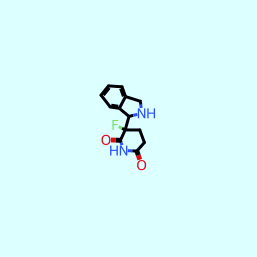 O=C1CCC(F)(C2NCc3ccccc32)C(=O)N1